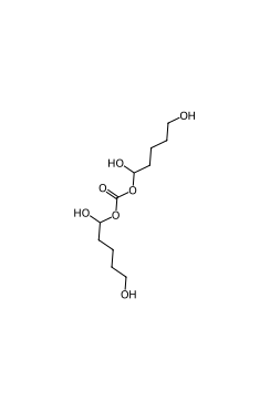 O=C(OC(O)CCCCO)OC(O)CCCCO